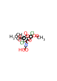 COCOc1cc2c(cc1Cl)C1(OC(=O)c3cc(C(=O)OC(C)(C)C)ccc31)c1cc(Cl)c(N3CC(C(=O)O)C3)cc1O2